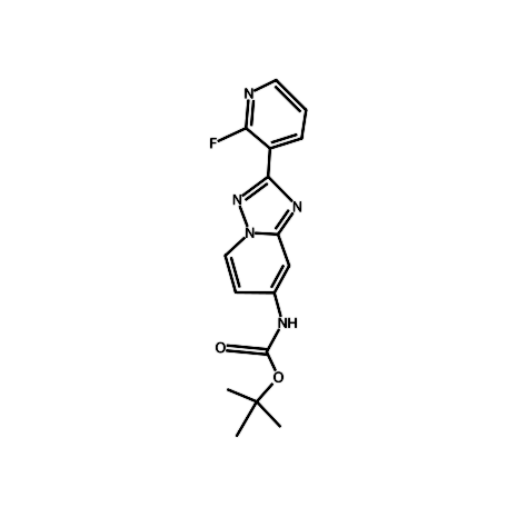 CC(C)(C)OC(=O)Nc1ccn2nc(-c3cccnc3F)nc2c1